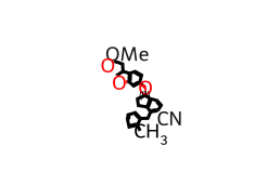 COC(=O)CC1COc2cc(O[C@@H]3CCc4c3ccc(C#N)c4Cc3ccccc3C)ccc21